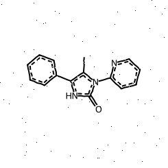 Cc1c(-c2ccccc2)[nH]c(=O)n1-c1ccccn1